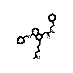 CC(=O)CCCCc1cc(CC(=O)N(C)CCc2ccccc2)c2cccc(OCc3ccccc3)c2c1